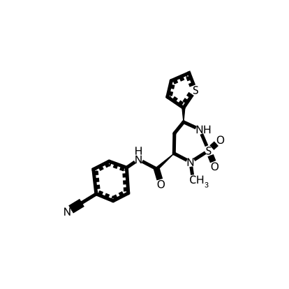 CN1[C@@H](C(=O)Nc2ccc(C#N)cc2)C[C@@H](c2cccs2)NS1(=O)=O